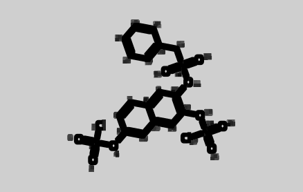 O=S(=O)(Cl)Oc1ccc2cc(OS(=O)(=O)Cc3ccccc3)c(OS(=O)(=O)Cl)cc2c1